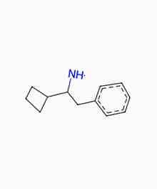 [NH]C(Cc1ccccc1)C1CCC1